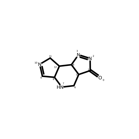 O=C1N=NC2C1CNC1C=NCC12